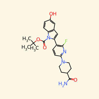 CC(C)(C)OC(=O)n1c(-c2ccc(N3CCC(C(N)=O)CC3)nc2F)cc2cc(O)ccc21